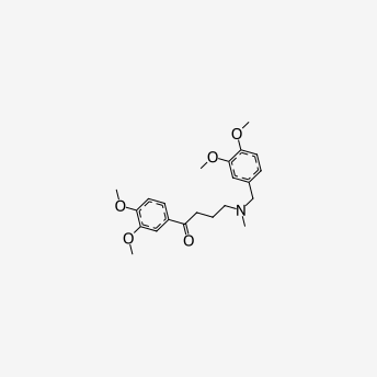 COc1ccc(CN(C)CCCC(=O)c2ccc(OC)c(OC)c2)cc1OC